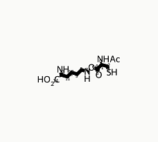 CC(=O)N[C@@H](CS)C(=O)ONCCCC[C@H](N)C(=O)O